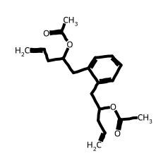 C=CCC(Cc1ccccc1CC(CC=C)OC(C)=O)OC(C)=O